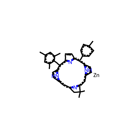 Cc1ccc(-c2c3nc(c(-c4c(C)cc(C)cc4C)c4ccc(cc5nc(cc6ccc2[nH]6)C(C)(C)C5)[nH]4)C=C3)cc1.[Zn]